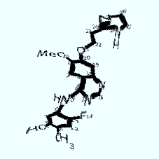 COc1cc2c(Nc3cc(O)c(C)cc3F)ncnc2cc1OCCc1ncc[nH]1